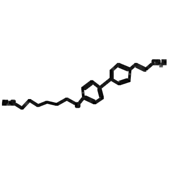 COCCCCCCOc1ccc(-c2ccc(/C=C/C(=O)O)cc2)cc1